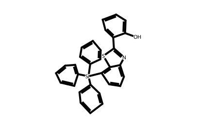 Oc1ccccc1-c1nc2cccc([Si](c3ccccc3)(c3ccccc3)c3ccccc3)c2s1